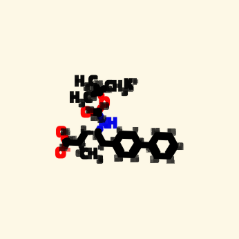 C[C@@H](C[C@@H](Cc1ccc(-c2ccccc2)cc1)NC(=O)OC(C)(C)C)C(=O)[O-].[K+]